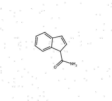 NC(=O)C1C=Cc2ccccc21